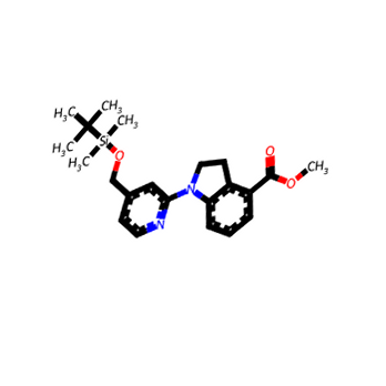 COC(=O)c1cccc2c1CCN2c1cc(CO[Si](C)(C)C(C)(C)C)ccn1